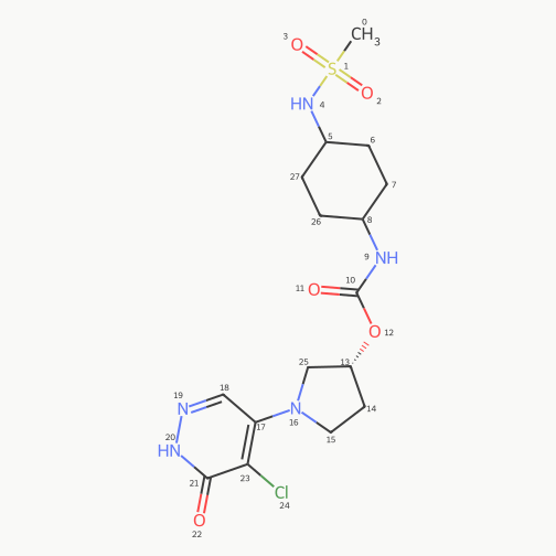 CS(=O)(=O)NC1CCC(NC(=O)O[C@@H]2CCN(c3cn[nH]c(=O)c3Cl)C2)CC1